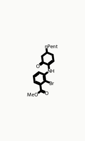 CCCCCC1CC=C(Nc2cccc(C(=O)OC)c2Br)C(=O)C1